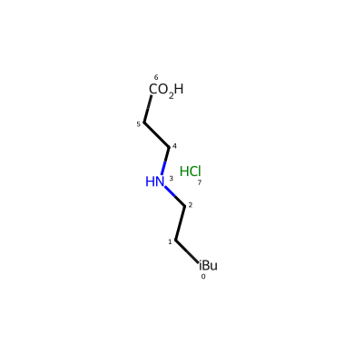 CCC(C)CCNCCC(=O)O.Cl